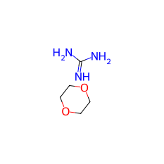 C1COCCO1.N=C(N)N